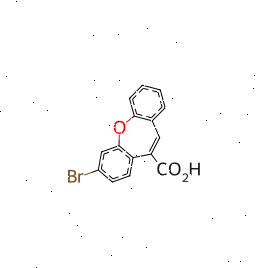 O=C(O)C1=Cc2ccccc2Oc2cc(Br)ccc21